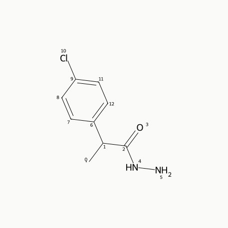 [CH2]C(C(=O)NN)c1ccc(Cl)cc1